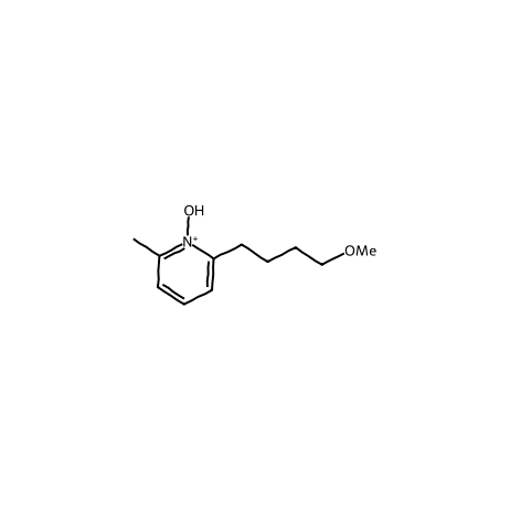 COCCCCc1cccc(C)[n+]1O